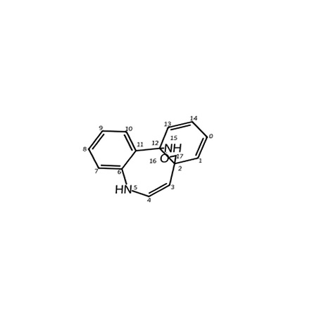 C1=CC23C=CNc4ccccc4C2(C=C1)NOC3